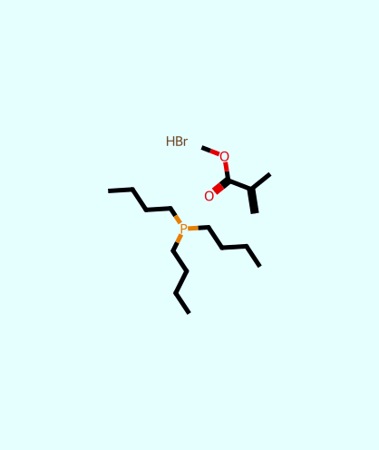 Br.C=C(C)C(=O)OC.CCCCP(CCCC)CCCC